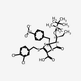 CC[C@H](O[Si](C)(C)C(C)(C)C)[C@@H]1C(=O)N2C(C(=O)O)=C(SCc3ccc(Cl)c(Cl)c3)S[C@]12Cc1ccc([N+](=O)[O-])cc1